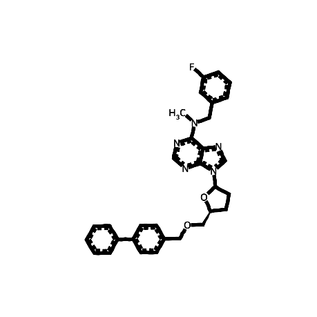 CN(Cc1cccc(F)c1)c1ncnc2c1ncn2C1CC[C@@H](COCc2ccc(-c3ccccc3)cc2)O1